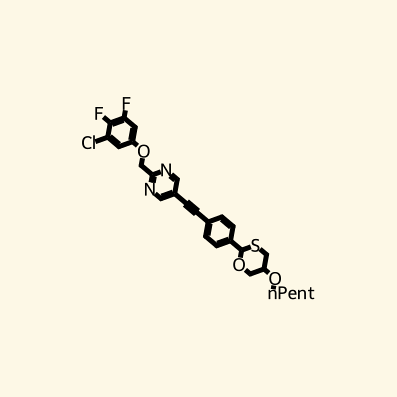 CCCCCOC1COC(c2ccc(C#Cc3cnc(COc4cc(F)c(F)c(Cl)c4)nc3)cc2)SC1